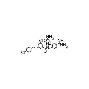 N=C(N)c1ccc(CNC(=O)c2cc(Cl)cc(CCc3ccc(Cl)cc3)c2)c(OCC(N)=O)c1